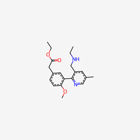 CCNCc1cc(C)cnc1-c1cc(CC(=O)OCC)ccc1OC